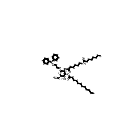 CCCCCCCCCCCC(=O)O[C@H]1[C@H](O)[C@@H](CO)O[C@H](OCCOP(c2ccccc2)c2ccccc2)[C@H]1NC(=O)CCCCCNC(=O)CCCCCCC